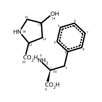 N[C@@H](Cc1ccccc1)C(=O)O.O=C(O)C1CC(O)CN1